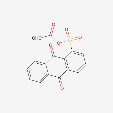 O=CC(=O)OS(=O)(=O)c1cccc2c1C(=O)c1ccccc1C2=O